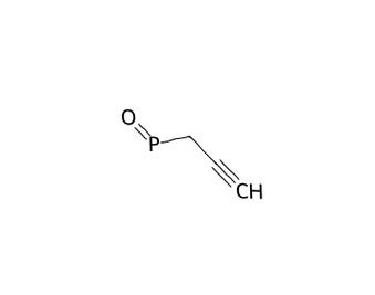 C#CCP=O